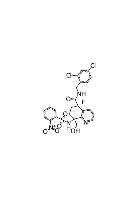 O=C(NCc1ccc(Cl)cc1Cl)[C@]1(F)CC[C@@](CO)(NS(=O)(=O)c2ccccc2[N+](=O)[O-])c2ncccc21